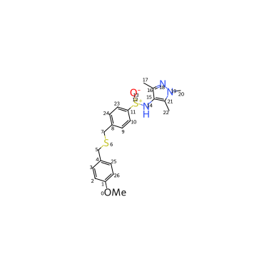 COc1ccc(CSCc2ccc([S+]([O-])Nc3c(C)nn(C)c3C)cc2)cc1